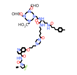 C#C[C@H]1CC(F)(F)CN1C(=O)CNC(=O)c1ccnc2ccc(OCCCCN3CCN(C(=O)CCCCCNC(=O)[C@H](CCCNC(=O)CCCc4ccc(C)cc4)NC(=O)CN4CCN(COC=O)CCN(COC=O)CCN(CC(=O)O)CC4)CC3)cc12